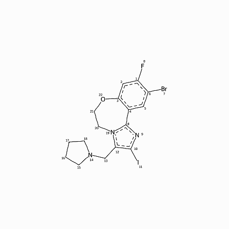 Fc1cc2c(cc1Br)-c1nc(I)c(CN3CCCC3)n1CCO2